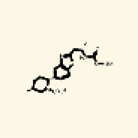 C[C@H]1CC[C@H](c2ccc3sc(C[C@H](C)NC(=O)OC(C)(C)C)nc3c2)N(C(=O)O)C1